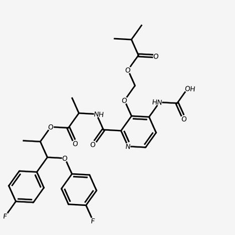 CC(C)C(=O)OCOc1c(NC(=O)O)ccnc1C(=O)NC(C)C(=O)OC(C)C(Oc1ccc(F)cc1)c1ccc(F)cc1